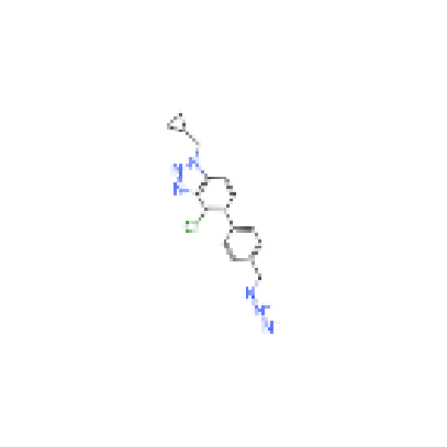 [N-]=[N+]=NCc1ccc(-c2ccc3c(nnn3CC3CC3)c2Cl)cc1